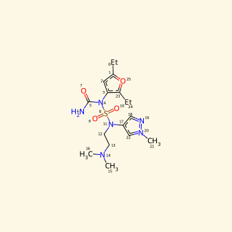 CCc1cc(N(C(N)=O)S(=O)(=O)N(CCN(C)C)c2cnn(C)c2)c(CC)o1